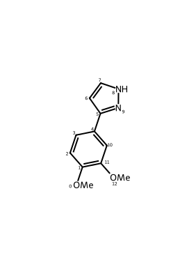 COc1ccc(-c2cc[nH]n2)cc1OC